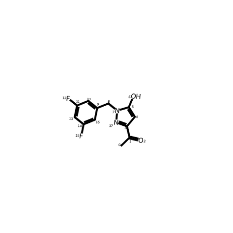 CC(=O)c1cc(O)n(Cc2cc(F)cc(F)c2)n1